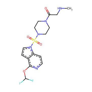 CNCC(=O)N1CCN(S(=O)(=O)n2ccc3c(OC(F)F)nccc32)CC1